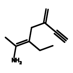 C#CC(=C)C/C(CC)=C(\C)N